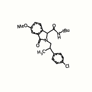 COc1ccc2c(c1)C(=O)N(CC(C)c1ccc(Cl)cc1)C2C(=O)NC(C)(C)C